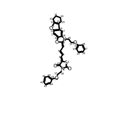 O=C1SC(=CC=CC=C2Oc3cc4oc5c(c4cc3N2CCOc2ccccc2)CCCC5)C(=O)N1CCOc1ccccc1